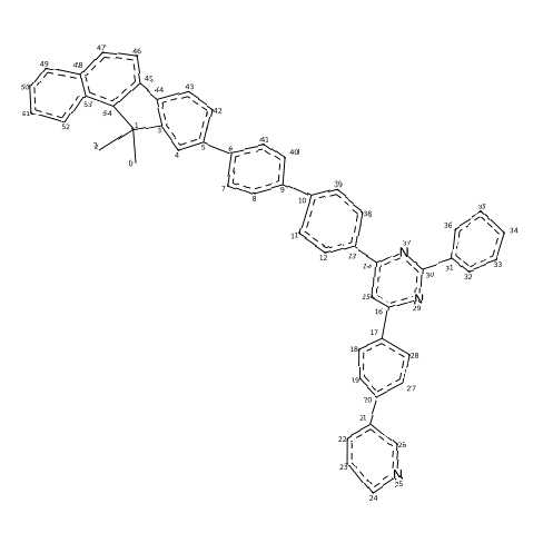 CC1(C)c2cc(-c3ccc(-c4ccc(-c5cc(-c6ccc(-c7cccnc7)cc6)nc(-c6ccccc6)n5)cc4)cc3)ccc2-c2ccc3ccccc3c21